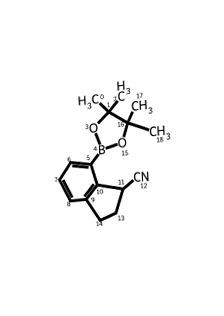 CC1(C)OB(c2cccc3c2C(C#N)CC3)OC1(C)C